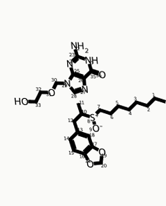 CCCCCCCC[S+]([O-])C(C)Cc1ccc2c(c1)OCO2.Nc1nc2c(ncn2COCCO)c(=O)[nH]1